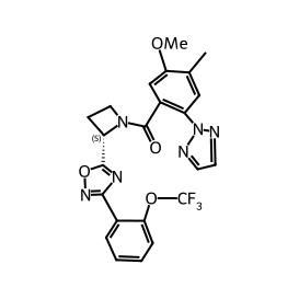 COc1cc(C(=O)N2CC[C@H]2c2nc(-c3ccccc3OC(F)(F)F)no2)c(-n2nccn2)cc1C